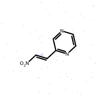 O=[N+]([O-])/C=C/c1cnccn1